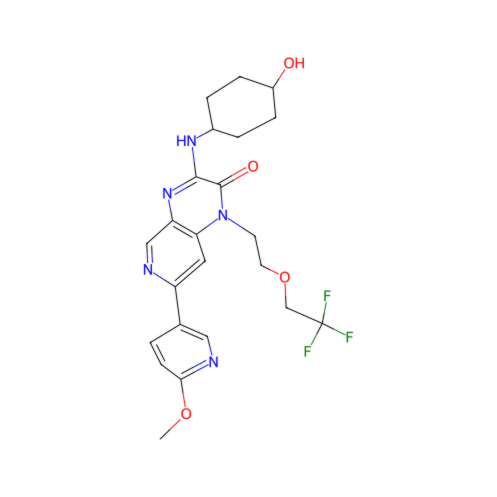 COc1ccc(-c2cc3c(cn2)nc(NC2CCC(O)CC2)c(=O)n3CCOCC(F)(F)F)cn1